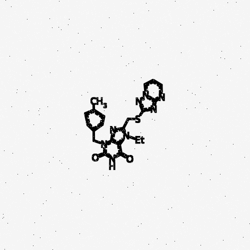 CCn1c(CSc2nc3ncccn3n2)nc2c1c(=O)[nH]c(=O)n2Cc1ccc(C)cc1